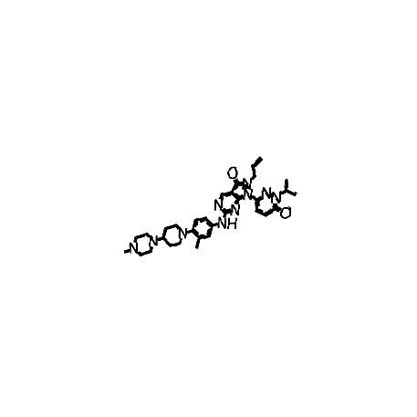 C=CCn1c(=O)c2cnc(Nc3ccc(N4CCC(N5CCN(C)CC5)CC4)c(C)c3)nc2n1-c1ccc(=O)n(C(C)C)n1